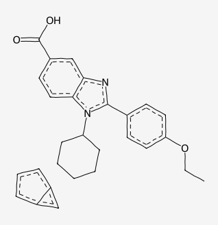 CCOc1ccc(-c2nc3cc(C(=O)O)ccc3n2C2CCCCC2)cc1.c1cc2cc-2c1